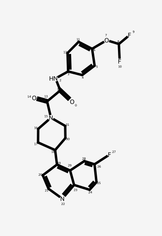 O=C(Nc1ccc(OC(F)F)cc1)C(=O)N1CCC(c2ccnc3ccc(F)cc23)CC1